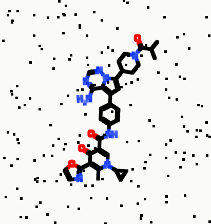 Cc1c(-c2ncco2)c(=O)c(C(=O)Nc2ccc(-c3cc(C4CCN(C(=O)C(C)C)CC4)n4ncnc(N)c34)cc2)cn1C1CC1